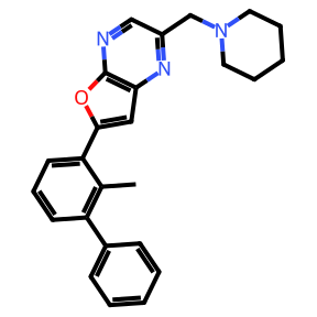 Cc1c(-c2ccccc2)cccc1-c1cc2nc(CN3CCCCC3)cnc2o1